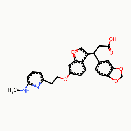 CNc1cccc(CCOc2ccc3c(C(CC(=O)O)c4ccc5c(c4)OCO5)coc3c2)n1